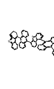 C1=c2sc3ccccc3c2=C(c2c3ccccc3c(-c3cccc4c3sc3cccc(-c5c6ccccc6c(-c6ccccc6)c6ccccc56)c34)c3ccccc23)CC1